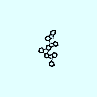 c1ccc(-c2cc3c(cc2-c2cccc4c2c2ccccc2n4-c2ccccc2)c2ccccc2n3-c2cccc3c2oc2ccccc23)cc1